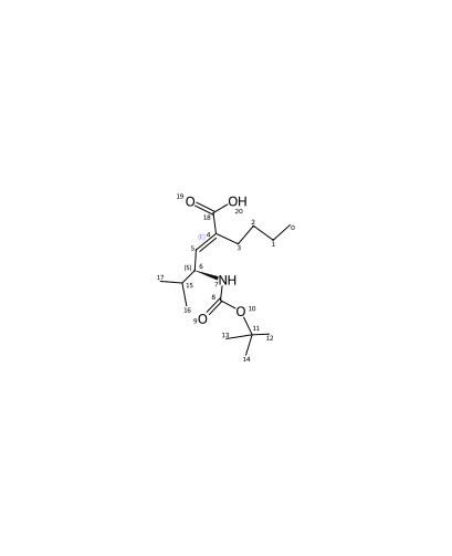 CCCC/C(=C\[C@@H](NC(=O)OC(C)(C)C)C(C)C)C(=O)O